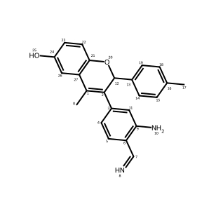 CC1=C(c2ccc(C=N)c(N)c2)C(c2ccc(C)cc2)Oc2ccc(O)cc21